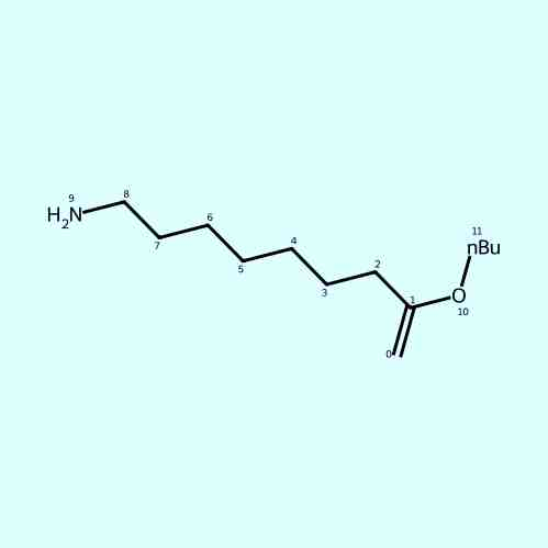 C=C(CCCCCCCN)OCCCC